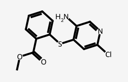 COC(=O)c1ccccc1Sc1cc(Cl)ncc1N